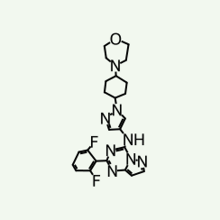 Fc1cccc(F)c1-c1nc(Nc2cnn(C3CCC(N4CCOCC4)CC3)c2)n2nccc2n1